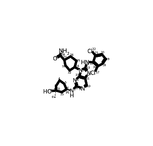 C[C@]1(O)CCC[C@@H](Nc2ncc3nc(Nc4c(Cl)cccc4Cl)n(C4CCC(C(N)=O)CC4)c3n2)C1